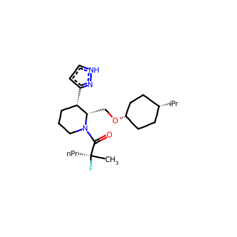 CCC[C@](C)(F)C(=O)N1CCC[C@H](c2cc[nH]n2)[C@@H]1CO[C@H]1CC[C@@H](C(C)C)CC1